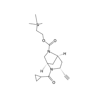 C#C[C@H]1C[C@H]2C[C@H](CN2C(=O)OCC[Si](C)(C)C)N1C(=O)C1CC1